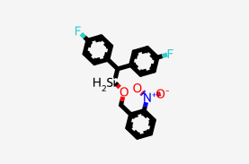 O=[N+]([O-])c1ccccc1CO[SiH2]C(c1ccc(F)cc1)c1ccc(F)cc1